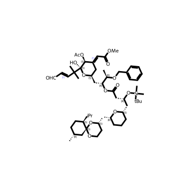 COC(=O)/C=C1\C[C@@H](C[C@@H](OC(=O)C[C@@H](C[C@@H]2CCC[C@H](C[C@@H]3CCO[C@@]4(C[C@H](C)CC[C@H]4C(C)C)O3)O2)O[Si](C)(C)C(C)(C)C)[C@@H](C)OCc2ccccc2)O[C@@](O)(C(C)(C)/C=C/C=O)[C@H]1OC(C)=O